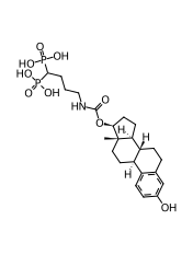 C[C@]12CC[C@@H]3c4ccc(O)cc4CC[C@H]3[C@@H]1CC[C@@H]2OC(=O)NCCCC(P(=O)(O)O)P(=O)(O)O